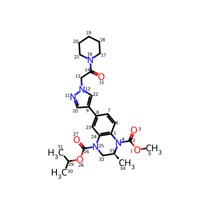 COC(=O)N1c2ccc(-c3cnn(CC(=O)N4CCCCC4)c3)cc2N(C(=O)OC(C)C)C[C@@H]1C